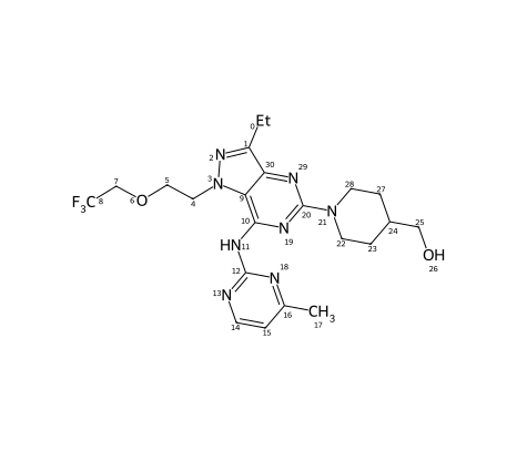 CCc1nn(CCOCC(F)(F)F)c2c(Nc3nccc(C)n3)nc(N3CCC(CO)CC3)nc12